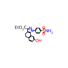 CCOC(=O)c1nn(-c2ccc(S(N)(=O)=O)cc2)c2c1CCc1ccc(O)cc1-2